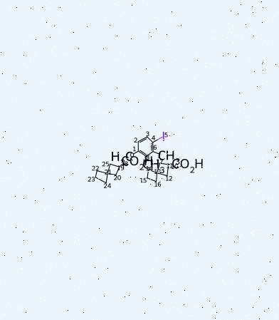 Cc1ccc(I)c(C)c1C.O=C(O)C1CC2(CCC2)C1.O=C(O)C1CC2(CCC2)C1